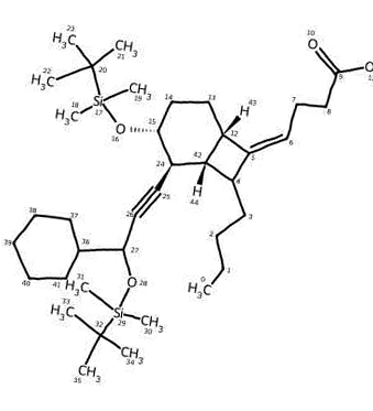 CCCCC1/C(=C/CCC(=O)O)[C@H]2CC[C@@H](O[Si](C)(C)C(C)(C)C)[C@H](C#CC(O[Si](C)(C)C(C)(C)C)C3CCCCC3)[C@@H]12